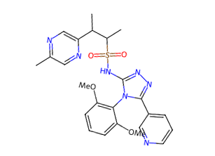 COc1cccc(OC)c1-n1c(NS(=O)(=O)C(C)C(C)c2cnc(C)cn2)nnc1-c1cccnc1